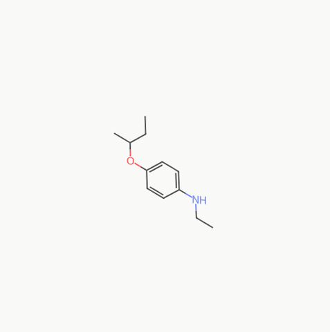 CCNc1ccc(OC(C)CC)cc1